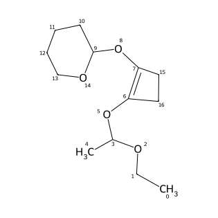 CCOC(C)OC1=C(OC2CCCCO2)CC1